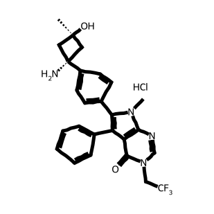 Cl.Cn1c(-c2ccc([C@]3(N)C[C@](C)(O)C3)cc2)c(-c2ccccc2)c2c(=O)n(CC(F)(F)F)cnc21